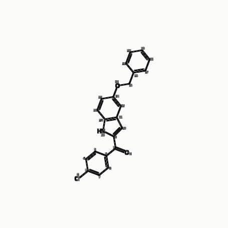 O=C(c1ccc(Cl)cc1)c1cc2cc(OCc3ccccc3)ccc2[nH]1